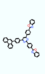 C1=CC(c2nc3ccccc3o2)CC=C1c1cc(-c2ccc(-c3cc4ccccc4c4ccccc34)cc2)nc(-c2ccc(-c3nc4ccccc4o3)cc2)n1